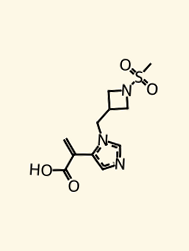 C=C(C(=O)O)c1cncn1CC1CN(S(C)(=O)=O)C1